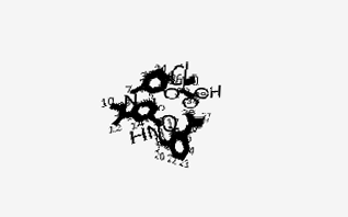 CC[C@@H](Oc1cc(Cn2c(C)c(C)c3cc(C(=O)N[C@@H](C)c4cccc(C(C)C)c4)ccc32)ccc1Cl)C(=O)O